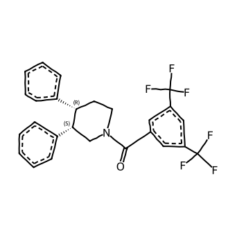 O=C(c1cc(C(F)(F)F)cc(C(F)(F)F)c1)N1CC[C@@H](c2ccccc2)[C@@H](c2ccccc2)C1